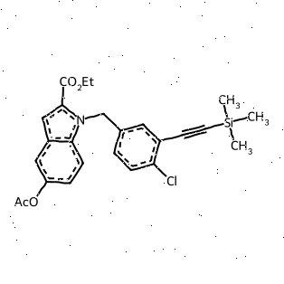 CCOC(=O)c1cc2cc(OC(C)=O)ccc2n1Cc1ccc(Cl)c(C#C[Si](C)(C)C)c1